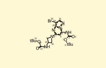 CC(C)(C)OC(=O)Nc1cc(N2CC(NC(=O)OC(C)(C)C)C2)nc2c(Br)cnn12